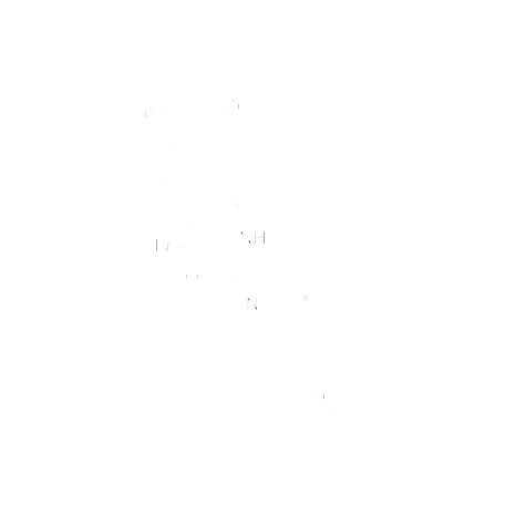 COc1cc(NC(=O)N2C=CC(=O)C[C@H]2c2ccccc2)c(Br)cc1Cl